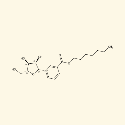 CCCCCCCOC(=O)c1ccc[n+]([C@@H]2O[C@H](CO)[C@@H](O)[C@H]2O)c1